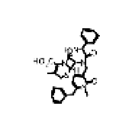 CC1=C(C(=O)O)N2C(=O)[C@@H](N(Cc3ccc(Cc4ccccc4)n(C)c3=O)C(=O)[C@H](N)c3ccccc3)[C@H]2SC1